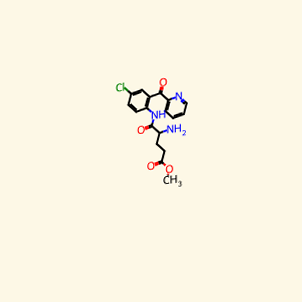 COC(=O)CCC(N)C(=O)Nc1ccc(Cl)cc1C(=O)c1ccccn1